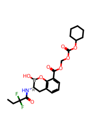 CCC(F)(F)C(=O)N[C@H]1Cc2cccc(C(=O)OCOC(=O)OC3CCCCC3)c2OB1O